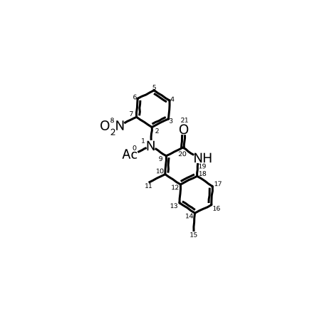 CC(=O)N(c1ccccc1[N+](=O)[O-])c1c(C)c2cc(C)ccc2[nH]c1=O